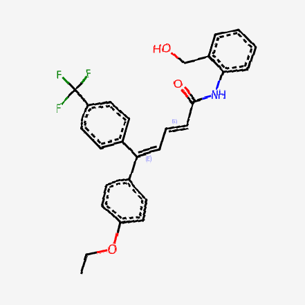 CCOc1ccc(/C(=C/C=C/C(=O)Nc2ccccc2CO)c2ccc(C(F)(F)F)cc2)cc1